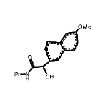 COc1ccc2cc(C(O)C(=O)NC(C)C)ccc2c1